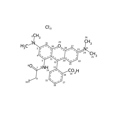 CN(C)c1cc(NC(=O)CI)c2c(-c3ccccc3C(=O)O)c3ccc(=[N+](C)C)cc-3oc2c1.[Cl-]